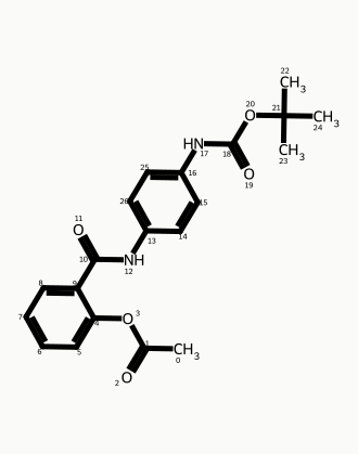 CC(=O)Oc1ccccc1C(=O)Nc1ccc(NC(=O)OC(C)(C)C)cc1